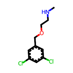 CNCCOCc1cc(Cl)cc(Cl)c1